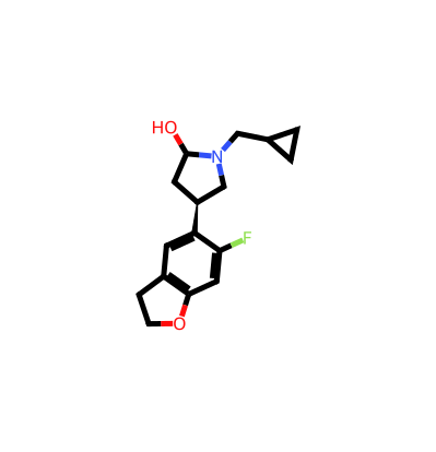 OC1C[C@H](c2cc3c(cc2F)OCC3)CN1CC1CC1